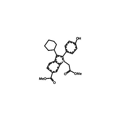 COC(=O)Cn1c(-c2ccc(O)cc2)c(C2CCCCC2)c2ccc(C(=O)OC)cc21